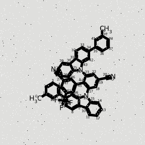 Cc1cccc(-c2ccc3c4ccccc4n(-c4cc(C#N)cc(-n5c6ccccc6c6ccc(-c7cccc(C)c7)cc65)c4-c4cc(C#N)cc(C(F)(F)F)c4)c3c2)c1